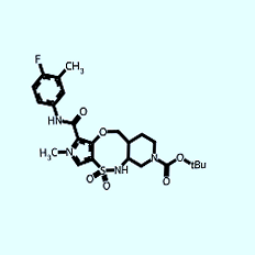 Cc1cc(NC(=O)c2c3c(cn2C)S(=O)(=O)NC2CN(C(=O)OC(C)(C)C)CCC2CO3)ccc1F